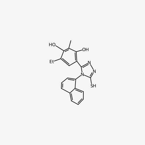 CCc1cc(-c2nnc(S)n2-c2cccc3ccccc23)c(O)c(C)c1O